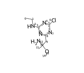 CCNc1nc(Cl)nc(CC(C)(N)OC)n1